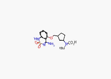 CC(C)(C)N(C(=O)O)C1CCC(COc2cccc3c2C(N)=NS(=O)(=O)N3)C1